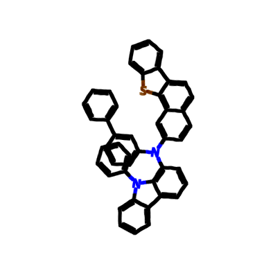 c1ccc(-c2cccc(N(c3ccc4ccc5c6ccccc6sc5c4c3)c3cccc4c5ccccc5n(-c5ccccc5)c34)c2)cc1